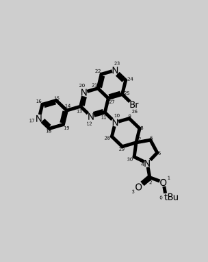 CC(C)(C)OC(=O)N1CCC2(CCN(c3nc(-c4ccncc4)nc4cncc(Br)c34)CC2)C1